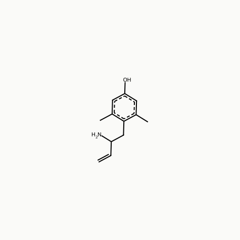 C=CC(N)Cc1c(C)cc(O)cc1C